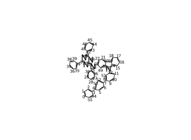 c1ccc(-c2ccc(-c3cccc(-n4c5ccccc5c5ccc(N(c6ccccc6)c6nc(-c7ccccc7)nc(-c7ccccc7)n6)cc54)c3)cc2)cc1